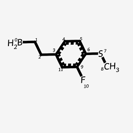 BCCc1ccc(SC)c(F)c1